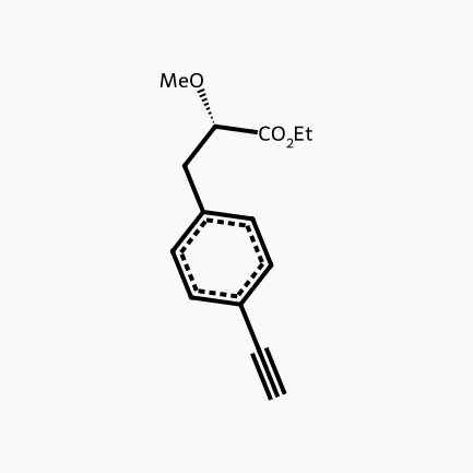 C#Cc1ccc(C[C@H](OC)C(=O)OCC)cc1